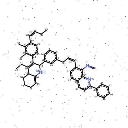 C=Nc1c(/C=C\Cc2cccc(C3NC4=CCCCC4C(CC)=C3c3ccc(/C=C\CC)c(C)c3C)c2)ccc2ccc(-c3ccccc3)nc12